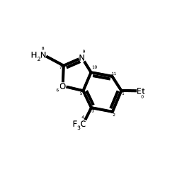 CCc1cc(C(F)(F)F)c2oc(N)nc2c1